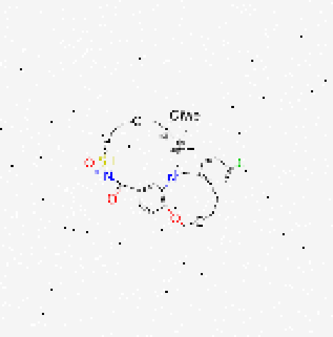 CO[C@H]1CCCCC/[SH](=O)=N\C(=O)c2ccc3c(c2)N(Cc2ccc(Cl)cc2CCCCO3)C[C@H](C)[C@H]1C